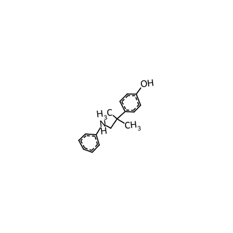 CC(C)(CNc1ccccc1)c1ccc(O)cc1